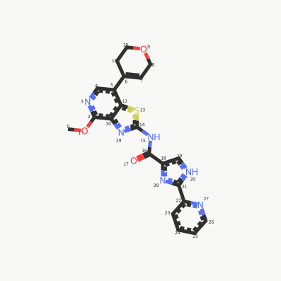 COc1ncc(C2=CCOCC2)c2sc(NC(=O)c3c[nH]c(-c4ccccn4)n3)nc12